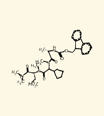 C[C@H](NC(=O)OCC1c2ccccc2-c2ccccc21)C(=O)N(C)C(C(=O)N(C)[C@@H](CC(=O)O)C(=O)N(C)C)C1CCCC1